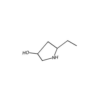 CCC1CC(O)CN1